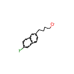 [O]CCCCc1ccc2cc(F)ccc2c1